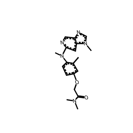 Cc1cc(OCC(=O)N(C)C)ccc1N(C)c1cc2c(cn1)ncn2C